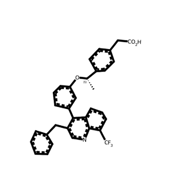 C[C@H](Oc1cccc(-c2c(Cc3ccccc3)cnc3c(C(F)(F)F)cccc23)c1)c1ccc(CC(=O)O)cc1